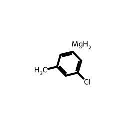 Cc1cccc(Cl)c1.[MgH2]